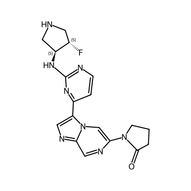 O=C1CCCN1c1cn2c(-c3ccnc(N[C@H]4CNC[C@@H]4F)n3)cnc2cn1